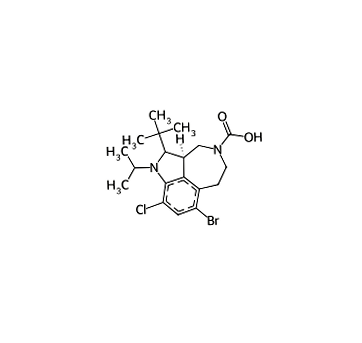 CC(C)N1c2c(Cl)cc(Br)c3c2[C@H](CN(C(=O)O)CC3)C1C(C)(C)C